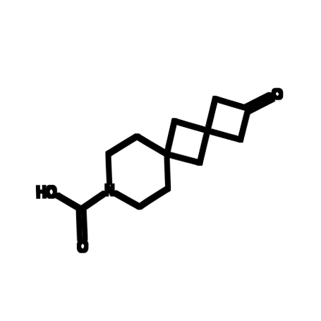 O=C1CC2(C1)CC1(CCN(C(=O)O)CC1)C2